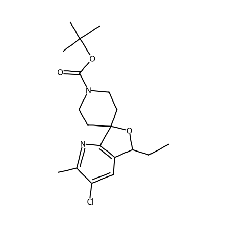 CCC1OC2(CCN(C(=O)OC(C)(C)C)CC2)c2nc(C)c(Cl)cc21